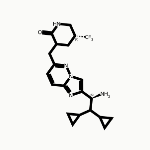 N[C@H](c1cn2nc(CC3C[C@@H](C(F)(F)F)CNC3=O)ccc2n1)C(C1CC1)C1CC1